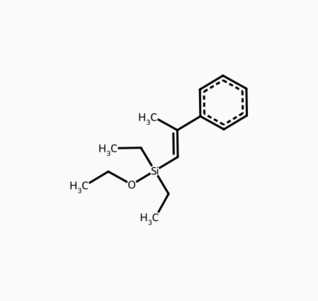 CCO[Si](C=C(C)c1ccccc1)(CC)CC